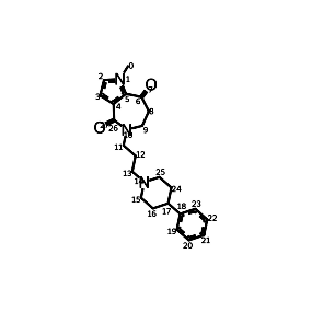 Cn1ccc2c1C(=O)CCN(CCCN1CCC(c3ccccc3)CC1)C2=O